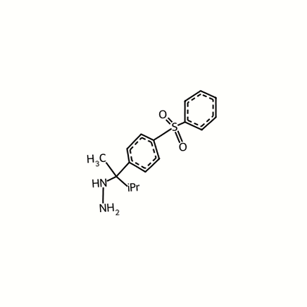 CC(C)C(C)(NN)c1ccc(S(=O)(=O)c2ccccc2)cc1